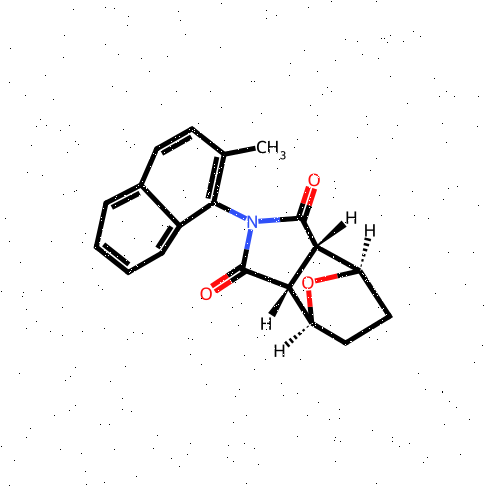 Cc1ccc2ccccc2c1N1C(=O)[C@@H]2[C@H](C1=O)[C@H]1CC[C@@H]2O1